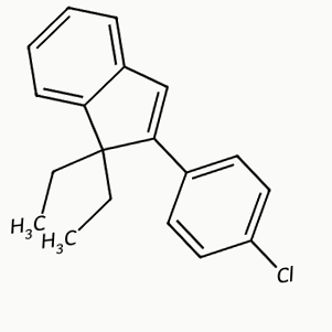 CCC1(CC)C(c2ccc(Cl)cc2)=Cc2ccccc21